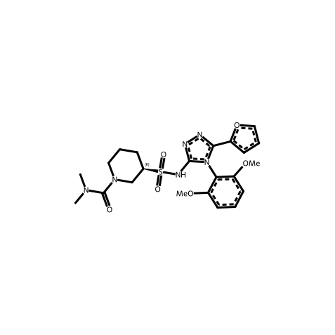 COc1cccc(OC)c1-n1c(NS(=O)(=O)[C@@H]2CCCN(C(=O)N(C)C)C2)nnc1-c1ccco1